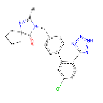 CCCCC1=NC2(CCCC2)C(=O)N1Cc1ccc(-c2cc(Cl)ccc2-c2nn[nH]n2)cc1